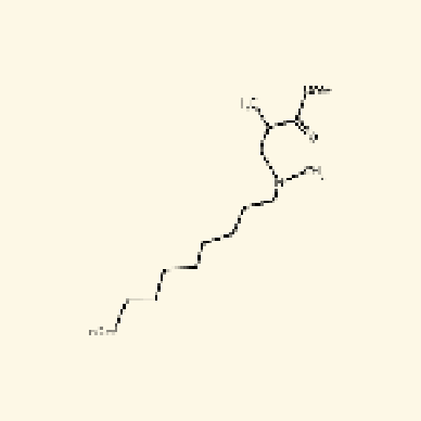 CCCCCCCCCCCCCCCCCCN(C)CC(C)C(=O)OC